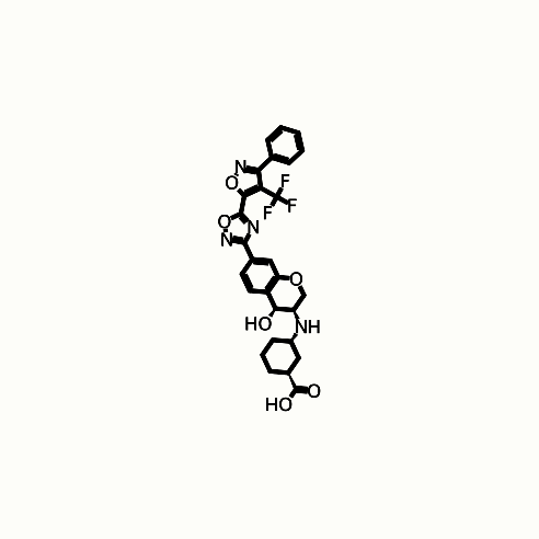 O=C(O)[C@H]1CCC[C@@H](N[C@@H]2COc3cc(-c4noc(-c5onc(-c6ccccc6)c5C(F)(F)F)n4)ccc3[C@@H]2O)C1